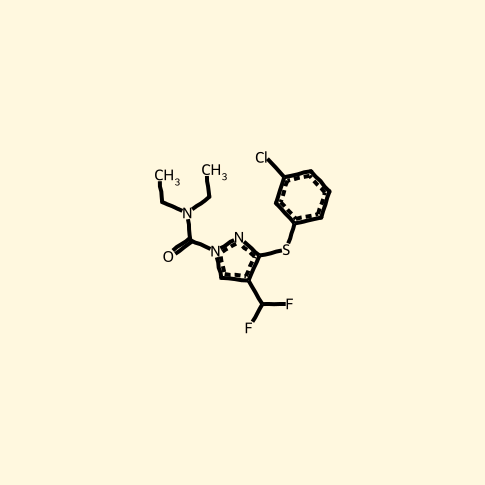 CCN(CC)C(=O)n1cc(C(F)F)c(Sc2cccc(Cl)c2)n1